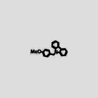 COc1ccc(Cn2c3ccccc3c3ccccc32)cc1